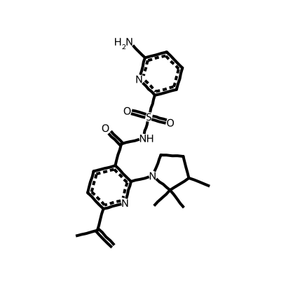 C=C(C)c1ccc(C(=O)NS(=O)(=O)c2cccc(N)n2)c(N2CCC(C)C2(C)C)n1